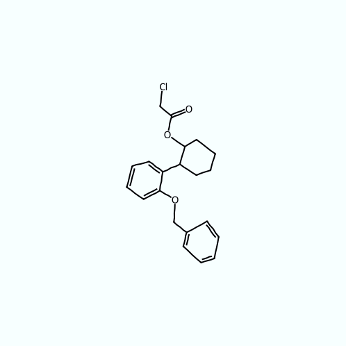 O=C(CCl)OC1CCCCC1c1ccccc1OCc1ccccc1